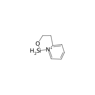 c1cc[n+]2c(c1)CCO[SiH2]2